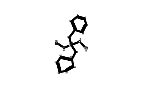 CC[O][Ti]([CH2]c1ccccc1)([CH2]c1ccccc1)[O]CC